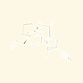 C=CC[C@@]12CCC[C@]1(OC(C)c1cc(C#N)n(C)n1)OCC2